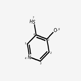 [O]c1ccncc1S